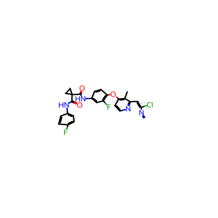 C=N/C(Cl)=C\c1nccc(Oc2ccc(NC(=O)C3(C(=O)Nc4ccc(F)cc4)CC3)cc2F)c1C